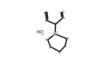 C=CC(C=C)N1CCCCC1.Cl